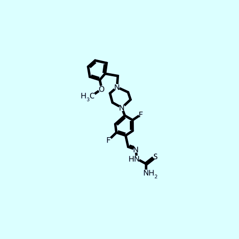 COc1ccccc1CN1CCN(c2cc(F)c(C=NNC(N)=S)cc2F)CC1